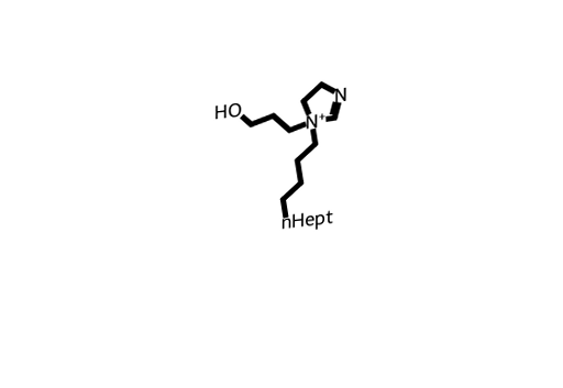 CCCCCCCCCCC[N+]1(CCCO)C=NCC1